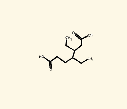 CCC(CCC(=O)O)C(CC)CC(=O)O